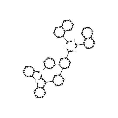 c1ccc(-n2c3ccccc3n3c4ccccc4c(-c4cccc(-c5ccc(-c6nc(-c7cccc8ccccc78)nc(-c7cccc8ccccc78)n6)cc5)c4)c23)cc1